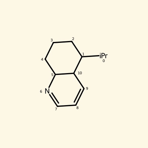 CC(C)C1CCCC2N=CC=CC21